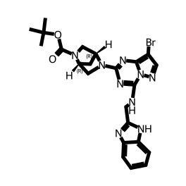 CC(C)(C)OC(=O)N1C[C@H]2C[C@@H]1CN2c1nc(NCc2nc3ccccc3[nH]2)n2ncc(Br)c2n1